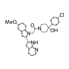 COc1ccc2c(c1)cc(-c1cc3cccnc3[nH]1)n2CC(=O)N1CCC(O)(c2ccc(Cl)cc2)CC1